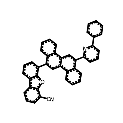 N#Cc1cccc2c1oc1c(-c3cc4c5ccccc5c(-c5cccc(-c6ccccc6)n5)cc4c4ccccc34)cccc12